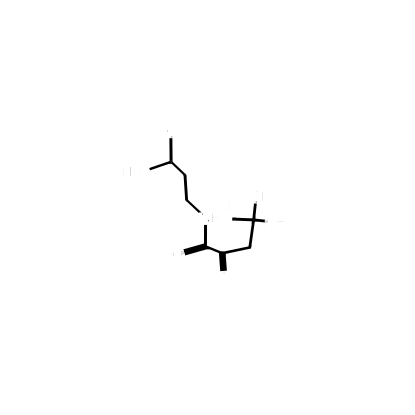 C=C(CC(C)(C)C)C(=O)NCCC(C)C